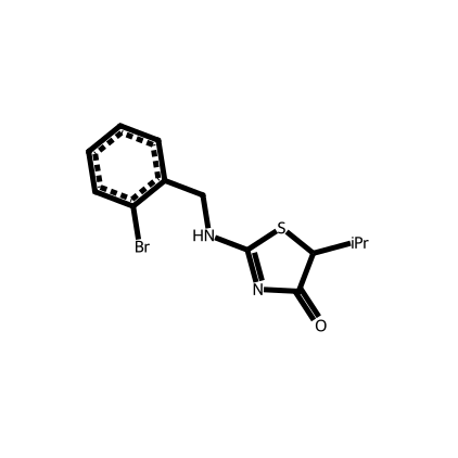 CC(C)C1SC(NCc2ccccc2Br)=NC1=O